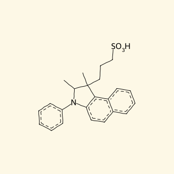 CC1N(c2ccccc2)c2ccc3ccccc3c2C1(C)CCCS(=O)(=O)O